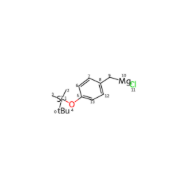 CC(C)(C)[Si](C)(C)Oc1ccc([CH2][Mg][Cl])cc1